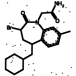 Cc1ccc2c(c1)N(CC(N)=O)C(=O)C(Br)CC2CC1CCCCC1